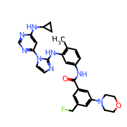 Cc1ccc(NC(=O)c2cc(CF)cc(N3CCOCC3)c2)cc1Nc1nccn1-c1cc(NC2CC2)ncn1